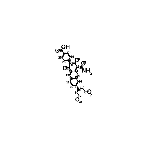 COCCN(CCOC)c1ccc(/C=C2/C(=O)N(c3ccc(C(=O)O)cc3)C(=O)C(C(N)=O)=C2C)cc1